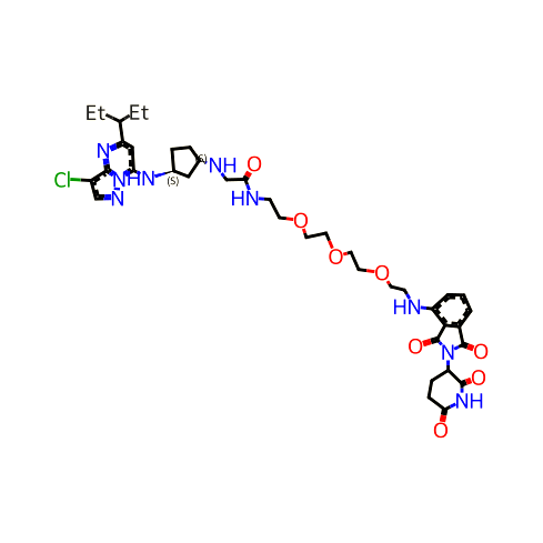 CCC(CC)c1cc(N[C@H]2CC[C@H](NCC(=O)NCCOCCOCCOCCNc3cccc4c3C(=O)N(C3CCC(=O)NC3=O)C4=O)C2)n2ncc(Cl)c2n1